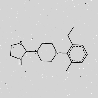 CCc1cccc(C)c1N1CCN(C2NCCS2)CC1